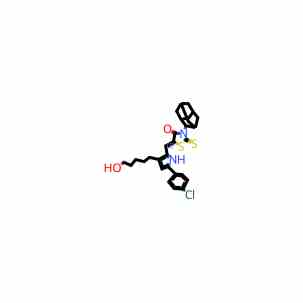 O=C1/C(=C/c2[nH]c(-c3ccc(Cl)cc3)cc2CCCCCO)SC(=S)N1C1C2CC3CC(C2)CC1C3